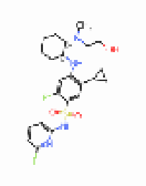 CN(CCO)[C@H]1CCCC[C@@H]1Nc1cc(F)c(S(=O)(=O)Nc2cccc(F)n2)cc1C1CC1